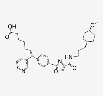 CO[C@H]1CC[C@@H](CCCNC(=O)c2coc(-c3ccc(C(=CCCCCC(=O)O)c4cccnc4)cc3)n2)CC1